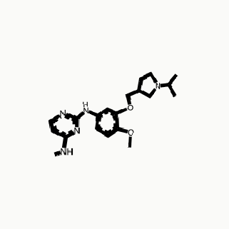 CNc1ccnc(Nc2ccc(OC)c(OCC3CCN(C(C)C)C3)c2)n1